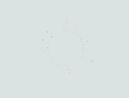 CN1CC(=O)N[C@@H](CCCNC(=N)N)C(=O)N[C@@H](CC(=O)O)C(=O)N2Cc3ccccc3C[C@H]2C(=O)N[C@@H](CC(N)=O)C(=O)N(C)[C@@H](Cc2ccccc2)C(=O)N[C@H](C(=O)NCC(N)=O)CSCC(=O)N[C@@H](Cc2ccccc2)C(=O)N[C@@H](CCCNC(=N)N)C(=O)N(C)[C@@H](Cc2ccccc2)C(=O)N[C@@H](CO)C(=O)N[C@@H](CCCCN)C(=O)N[C@@H](CC(N)=O)C(=O)N[C@@H](Cc2ccc(O)cc2)C1=O